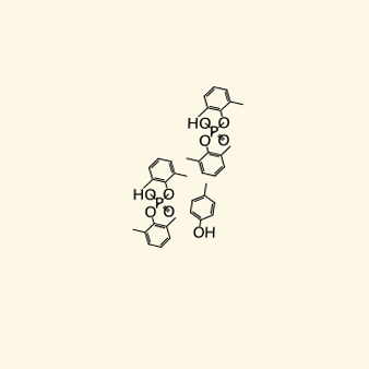 Cc1ccc(O)cc1.Cc1cccc(C)c1OP(=O)(O)Oc1c(C)cccc1C.Cc1cccc(C)c1OP(=O)(O)Oc1c(C)cccc1C